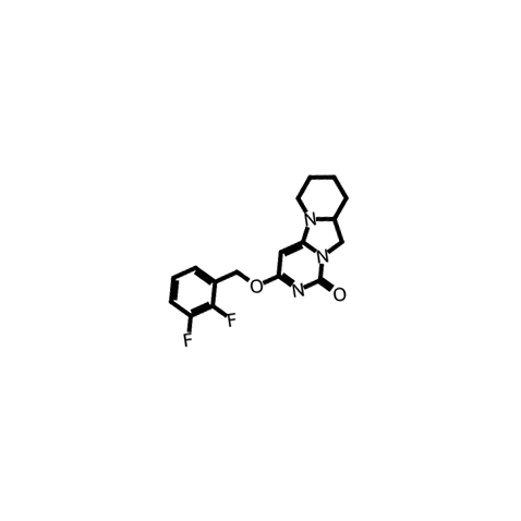 O=c1nc(OCc2cccc(F)c2F)cc2n1CC1CCCCN21